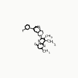 Cc1cc(=O)n2nc(N3CCc4ncc(-c5cccc(F)c5)cc4C3)c(C)c(C)c2n1